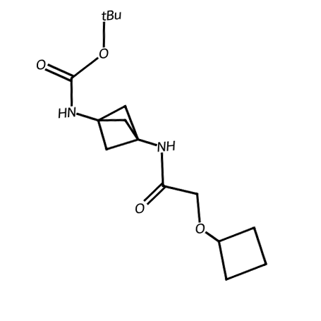 CC(C)(C)OC(=O)NC12CC(NC(=O)COC3CCC3)(C1)C2